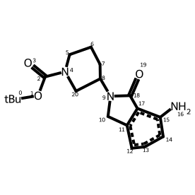 CC(C)(C)OC(=O)N1CCCC(N2Cc3cccc(N)c3C2=O)C1